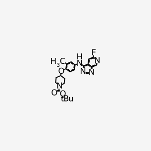 Cc1cc(Nc2ncnc3cnc(F)cc23)ccc1OC1CCN(C(=O)OC(C)(C)C)CC1